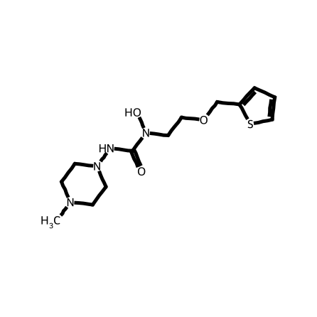 CN1CCN(NC(=O)N(O)CCOCc2cccs2)CC1